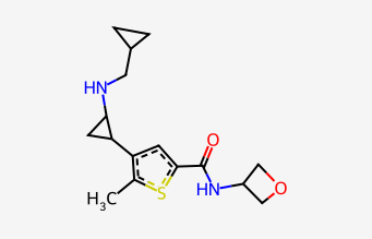 Cc1sc(C(=O)NC2COC2)cc1C1CC1NCC1CC1